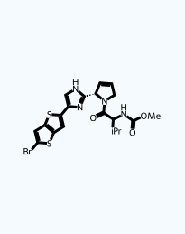 COC(=O)NC(C(=O)N1CC=C[C@H]1c1nc(-c2cc3sc(Br)cc3s2)c[nH]1)C(C)C